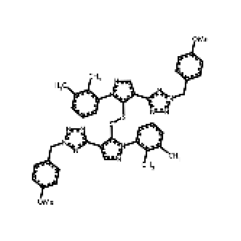 COc1ccc(Cn2nnc(-c3cnn(-c4cccc(C)c4C)c3SSc3c(-c4nnn(Cc5ccc(OC)cc5)n4)cnn3-c3cccc(C)c3C)n2)cc1